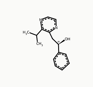 CC(C)c1nccnc1C[C@@H](O)c1ccccc1